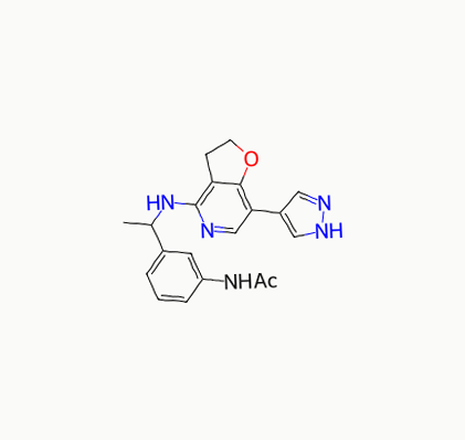 CC(=O)Nc1cccc(C(C)Nc2ncc(-c3cn[nH]c3)c3c2CCO3)c1